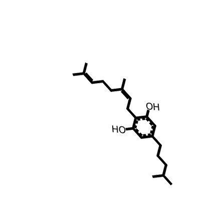 CC(C)=CCCC(C)=CCc1c(O)cc(CCCC(C)C)cc1O